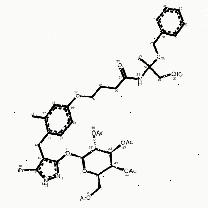 CC(=O)OC[C@H]1O[C@@H](Oc2n[nH]c(C(C)C)c2Cc2ccc(OCCCC(=O)NC(C)(CC=O)OCc3ccccc3)cc2C)[C@H](OC(C)=O)[C@@H](OC(C)=O)[C@H]1OC(C)=O